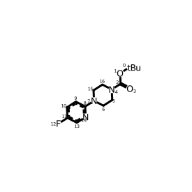 CC(C)(C)OC(=O)N1CCN(c2ccc(F)cn2)CC1